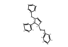 C1=CN(Cc2ccccc2)C(c2ccccc2)N1CCc1ccccc1